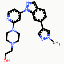 Cn1cc(-c2ccc3cnn(-c4ccnc(N5CCN(CCO)CC5)c4)c3c2)cn1